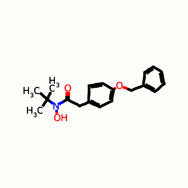 CC(C)(C)N(O)C(=O)Cc1ccc(OCc2ccccc2)cc1